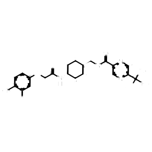 O=C(COc1ccc(Cl)c(F)c1)N[C@H]1CC[C@H](CNC(=O)c2cnc(C(F)(F)F)cn2)CC1